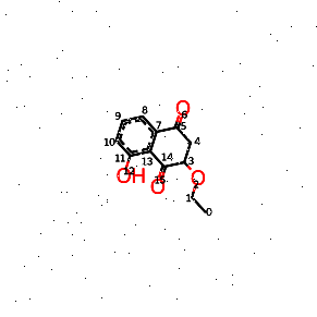 CCOC1CC(=O)c2cccc(O)c2C1=O